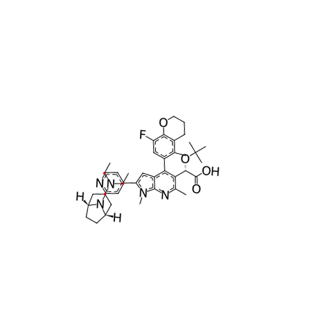 CCN(CC)C1C[C@H]2CC[C@@H](C1)N2c1cc(-c2cc3c(-c4cc(F)c5c(c4C)CCCO5)c([C@H](OC(C)(C)C)C(=O)O)c(C)nc3n2C)ccn1